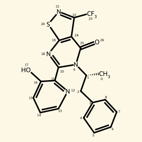 C[C@H](Cc1ccccc1)n1c(-c2ncccc2O)nc2snc(C(F)(F)F)c2c1=O